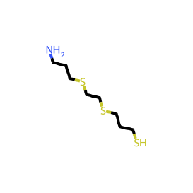 NCCCSCCSCCCS